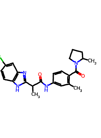 Cc1cc(NC(=O)C(C)c2nc3cc(Cl)ccc3[nH]2)ccc1C(=O)N1CCCC1C